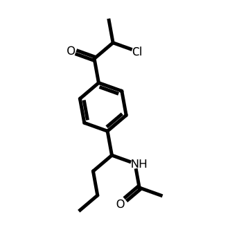 CCCC(NC(C)=O)c1ccc(C(=O)C(C)Cl)cc1